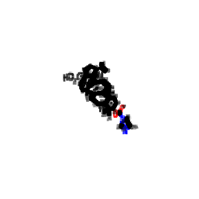 C=C(C)[C@@H]1CC[C@]2(C(=O)O)CC[C@]3(C)[C@H](CC[C@@H]4[C@@]5(C)CC[C@H](OC(=O)n6ccnc6)C(C)(C)[C@@H]5CC[C@]43C)[C@@H]12